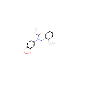 CSc1ccccc1CN(C(=O)CCl)c1ccc2c(c1)OCO2